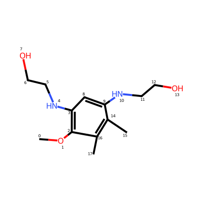 COc1c(NCCO)cc(NCCO)c(C)c1C